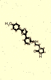 Cc1ccc(-c2ncc(-c3ccnc(NCCN4CCNC4=O)n3)s2)cc1